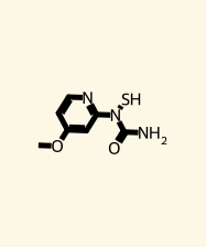 COc1ccnc(N(S)C(N)=O)c1